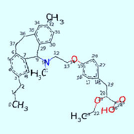 CCCc1ccc2c(c1)C(N(C)CCOc1ccc(CC(OCC)C(=O)O)cc1)c1ccc(C)cc1CC2